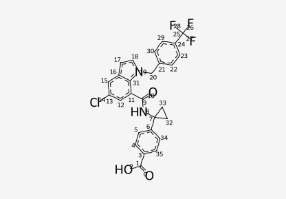 O=C(O)c1ccc(C2(NC(=O)c3cc(Cl)cc4ccn(Cc5ccc(C(F)(F)F)cc5)c34)CC2)cc1